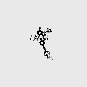 CC(C)(C)[Si](C)(C)Oc1ccc(F)cc1C(C(=O)Nc1nccs1)N1Cc2ccc(C#Cc3cnc(N)nc3)cc2C1=O